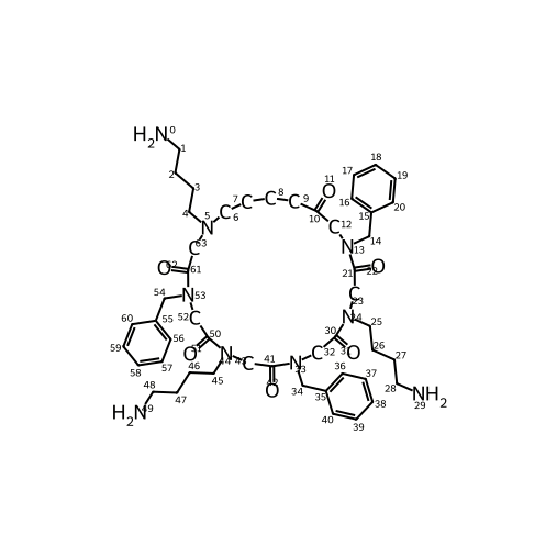 NCCCCN1CCCCC(=O)CN(Cc2ccccc2)C(=O)CN(CCCCN)C(=O)CN(Cc2ccccc2)C(=O)CN(CCCCN)C(=O)CN(Cc2ccccc2)C(=O)C1